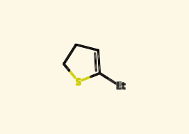 CCC1=CCCS1